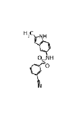 Cc1cc2cc(NS(=O)(=O)c3cccc(C#N)c3)ccc2[nH]1